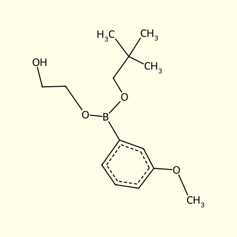 COc1cccc(B(OCCO)OCC(C)(C)C)c1